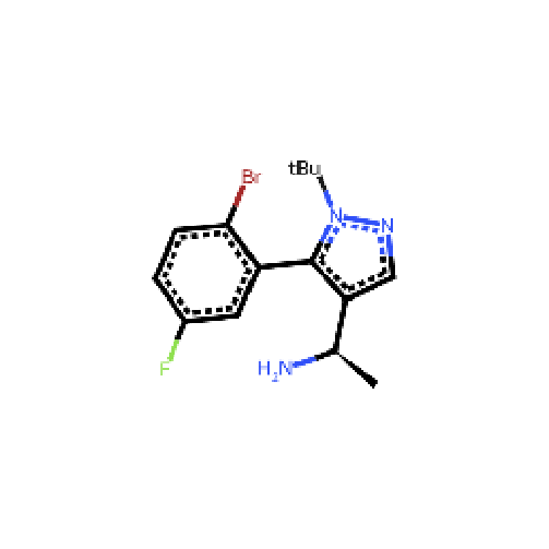 C[C@@H](N)c1cnn(C(C)(C)C)c1-c1cc(F)ccc1Br